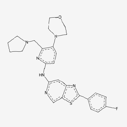 Fc1ccc(-c2nc3cc(Nc4ccc(N5CCOCC5)c(CN5CCCC5)n4)ncc3s2)cc1